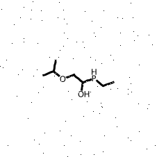 CCPC(O)COC(C)C